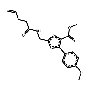 C=CCCC(=O)NCc1nc(-c2ccc(OC)cc2)c(C(=O)OC)s1